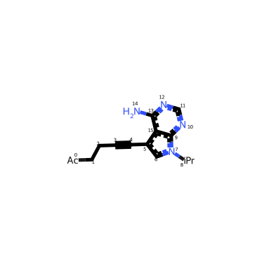 CC(=O)CCC#Cc1cn(C(C)C)c2ncnc(N)c12